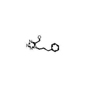 [O]Cc1nnnn1CCCc1ccccc1